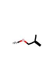 C=C(C)COCCC